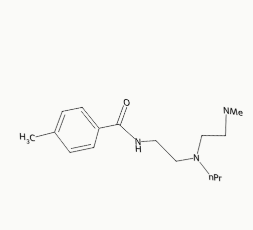 CCCN(CCNC)CCNC(=O)c1ccc(C)cc1